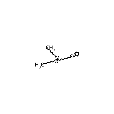 CCCCCCCCOC(CCCCCCCOCc1ccccc1)OCCCCCCCC